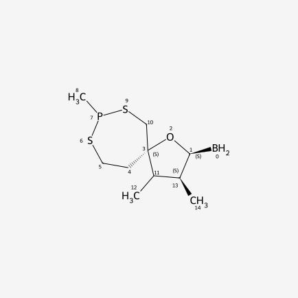 B[C@@H]1O[C@@]2(CCSP(C)SC2)C(C)[C@@H]1C